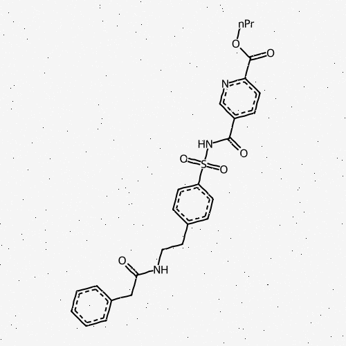 CCCOC(=O)c1ccc(C(=O)NS(=O)(=O)c2ccc(CCNC(=O)Cc3ccccc3)cc2)cn1